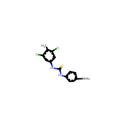 CC(=O)Nc1ccc(NC(=S)Nc2cc(Cl)c(C)c(Cl)c2)cc1